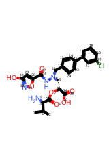 CC(C)C(N)C(=O)O[C@H](CN(Cc1ccc(-c2cccc(Cl)c2)cc1)NC(=O)c1cc(O)no1)C(=O)O